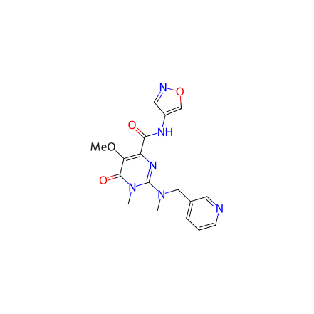 COc1c(C(=O)Nc2cnoc2)nc(N(C)Cc2cccnc2)n(C)c1=O